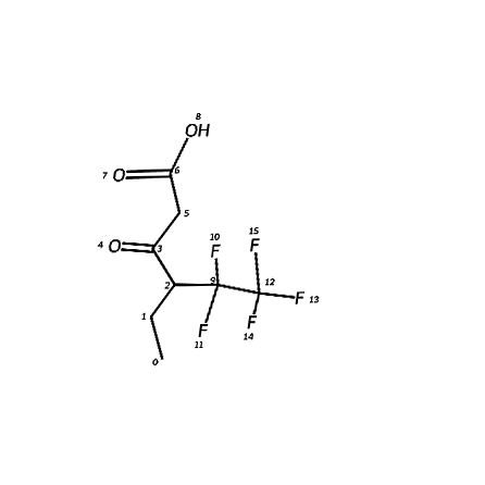 CCC(C(=O)CC(=O)O)C(F)(F)C(F)(F)F